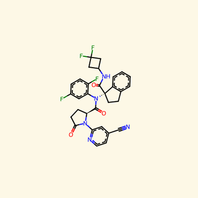 N#Cc1ccnc(N2C(=O)CC[C@H]2C(=O)N(c2cc(F)ccc2F)[C@@]2(C(=O)NC3CC(F)(F)C3)CCc3ccccc32)c1